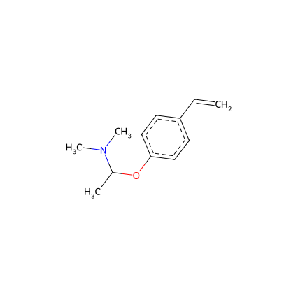 C=Cc1ccc(OC(C)N(C)C)cc1